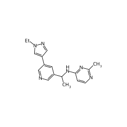 CCn1cc(-c2cncc(C(C)Nc3ccnc(C)n3)c2)cn1